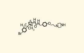 CC(C)(c1ccc(Br)cc1)c1csc(NC(=O)NCc2ccc(OCCCN3CCNCC3)cc2)n1